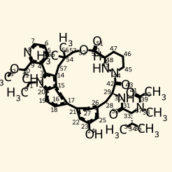 CCn1c(-c2cccnc2[C@H](C)OC)c2c3cc(ccc31)-c1cc(O)cc(c1)C[C@H](NC(=O)[C@@H](C(C)C)N(C)C(C)=O)C(=O)N1CCC[C@H](N1)C(=O)OCC(C)(C)C2